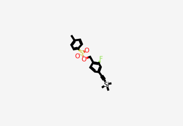 Cc1ccc(S(=O)(=O)OCc2ccc(C#C[Si](C)(C)C)cc2F)cc1